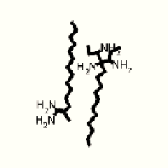 CCCCCCCCCCCC(N)(C(N)CC)C(N)CC.CCCCCCCCCCCCC(C)=C(N)N